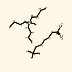 CC(C)(C)CCCCCC(=O)[O-].CCCC[N+](C)(CCCC)CCCC